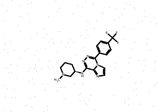 CN1CCC[C@@H](Nc2nnc(-c3ccc(C(F)(F)F)cc3)n3ccnc23)C1